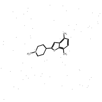 Cc1ccc(C)c2oc(C3CCN(C)CC3)cc12